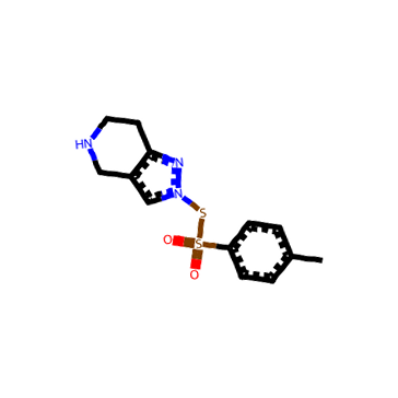 Cc1ccc(S(=O)(=O)Sn2cc3c(n2)CCNC3)cc1